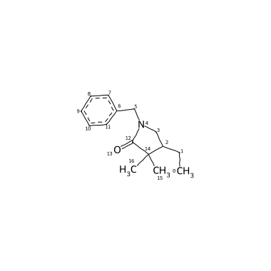 CCC1CN(Cc2ccccc2)C(=O)C1(C)C